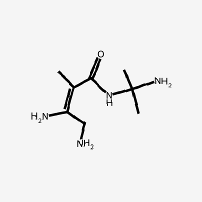 CC(C(=O)NC(C)(C)N)=C(N)CN